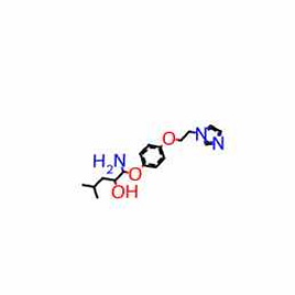 CC(C)CC(O)C(N)Oc1ccc(OCCn2ccnc2)cc1